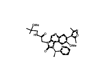 COc1cc2c(cc1-c1c(C)noc1C)ncc1c2n([C@H](C)c2ccccn2)c(=O)n1CC(=O)NCC(C)(C)OC